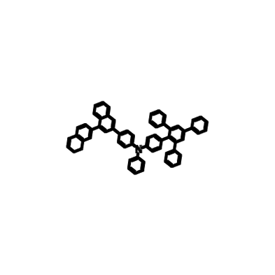 C1=Cc2ccc(-c3cc(-c4ccc(N(c5ccccc5)c5ccc(-c6c(-c7ccccc7)cc(-c7ccccc7)cc6-c6ccccc6)cc5)cc4)cc4ccccc34)cc2CC1